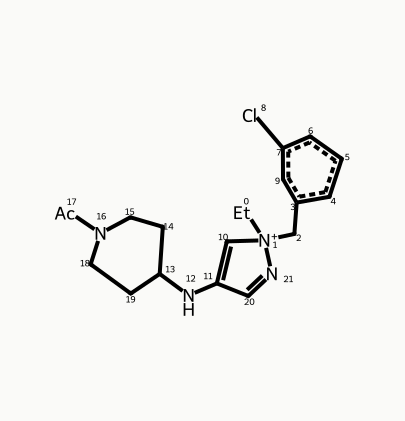 CC[N+]1(Cc2cccc(Cl)c2)C=C(NC2CCN(C(C)=O)CC2)C=N1